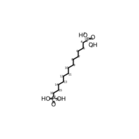 O=P(O)(O)CCCCCCCCCCCCCP(=O)(O)O